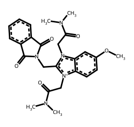 COc1ccc2c(c1)n(CC(=O)N(C)C)c(CN1C(=O)c3ccccc3C1=O)[n+]2CC(=O)N(C)C